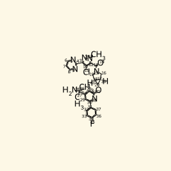 Cn1nc(-c2ncccn2)c(Cl)c1C(=O)N1C[C@@H]2[C@H](C1)[C@H]2Oc1cc(C(C)(C)N)cc(-c2ccc(F)cc2)n1